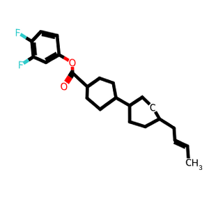 CC=CCC1CCC(C2CCC(C(=O)Oc3ccc(F)c(F)c3)CC2)CC1